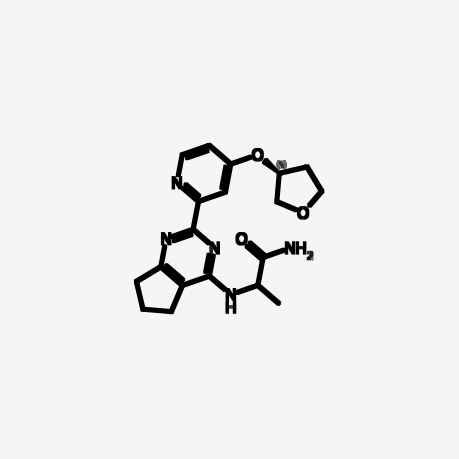 CC(Nc1nc(-c2cc(O[C@H]3CCOC3)ccn2)nc2c1CCC2)C(N)=O